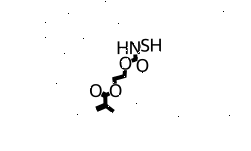 C=C(C)C(=O)OCCOC(=O)NS